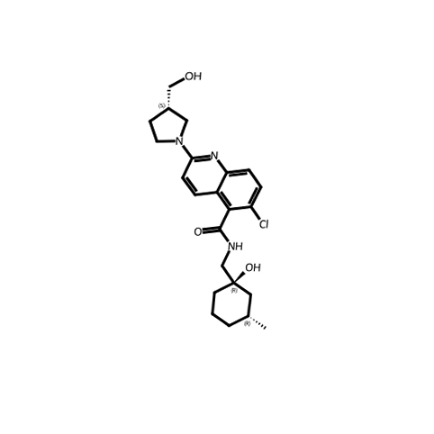 C[C@@H]1CCC[C@](O)(CNC(=O)c2c(Cl)ccc3nc(N4CC[C@H](CO)C4)ccc23)C1